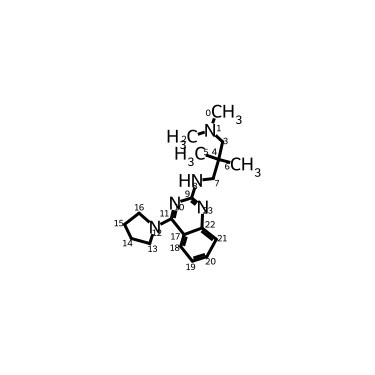 CN(C)CC(C)(C)CNc1nc(N2CCCC2)c2ccccc2n1